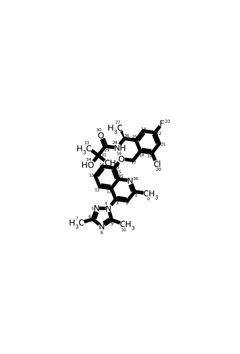 Cc1cc(-n2nc(C)nc2C)c2cccc(OCc3c(Cl)cc(F)cc3[C@H](C)NC(=O)C(C)(C)O)c2n1